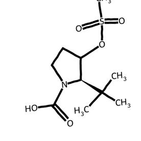 CC(C)(C)[C@@H]1C(OS(C)(=O)=O)CCN1C(=O)O